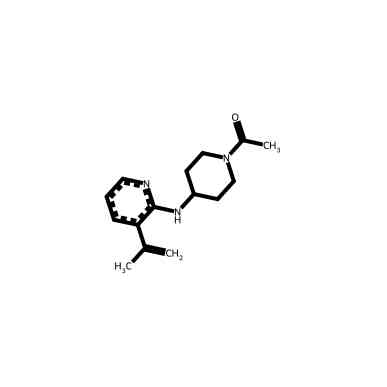 C=C(C)c1cccnc1NC1CCN(C(C)=O)CC1